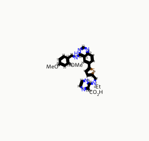 CCN(Cc1ccc(-c2ccc3ncnc(NCc4ccc(OC)cc4OC)c3c2)s1)c1nccnc1C(=O)O